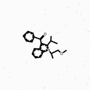 COCC(C)n1c(C(C)C)c(C(=O)c2ccccc2)c2ccccc21